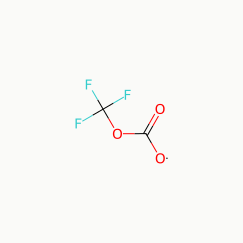 [O]C(=O)OC(F)(F)F